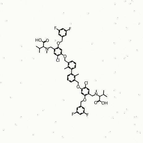 Cc1c(COc2cc(OCc3cc(F)cc(F)c3)c(CN(C)C(C(=O)O)C(C)C)cc2Cl)cccc1-c1cccc(COc2cc(OCc3cc(F)cc(F)c3)c(CN(C)C(C(=O)O)C(C)C)cc2Cl)c1C